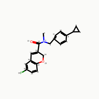 CN(Cc1ccc(C2CC2)cc1)C(=O)C1=Cc2cc(F)ccc2OC1